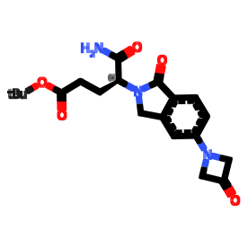 CC(C)(C)OC(=O)CC[C@@H](C(N)=O)N1Cc2cc(N3CC(=O)C3)ccc2C1=O